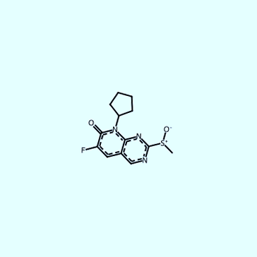 C[S+]([O-])c1ncc2cc(F)c(=O)n(C3CCCC3)c2n1